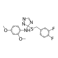 COc1ccc(NC2(SCc3ccc(F)c(F)c3)N=CN=N2)c(OC)c1